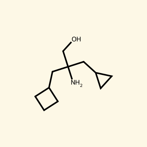 NC(CO)(CC1CCC1)CC1CC1